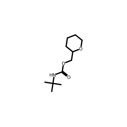 CC(C)(C)NC(=O)OCC1CCCCO1